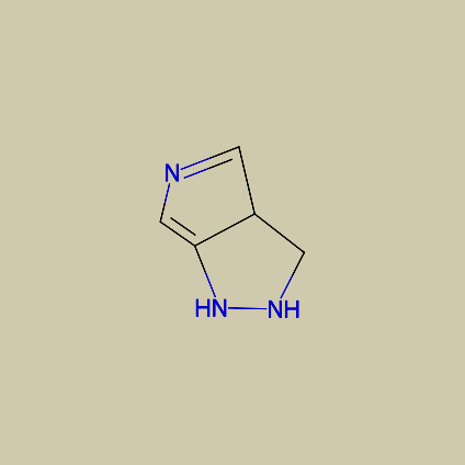 C1=NC=C2NNCC12